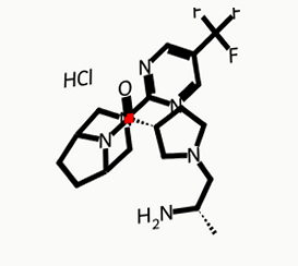 C[C@H](N)CN1CC[C@@H](C(=O)N2C3CCC2CN(c2ncc(C(F)(F)F)cn2)C3)C1.Cl